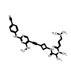 CNc1nc(Nc2ccc(C#N)cc2)ncc1C#CC1CC(NC(=O)C(C)N(C)C(=O)C=CCN(C)C)C1